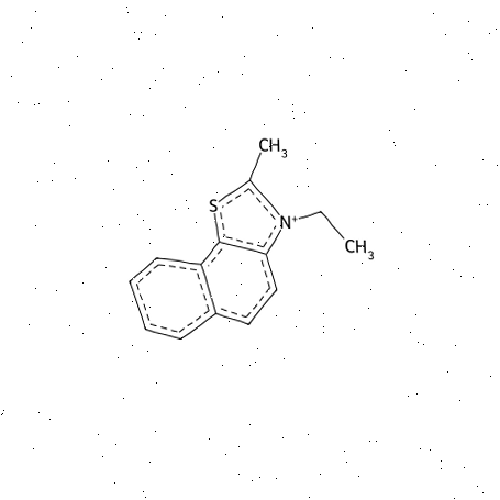 CC[n+]1c(C)sc2c3ccccc3ccc21